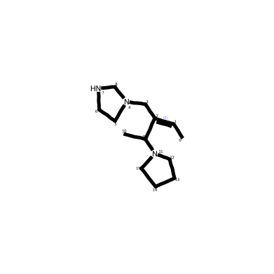 C/C=C(/CN1CCNC1)C(C)N1CCCC1